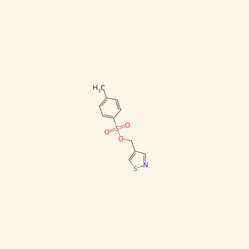 Cc1ccc(S(=O)(=O)OCc2cnsc2)cc1